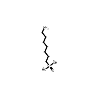 NCCCCCCCP(=O)(O)O